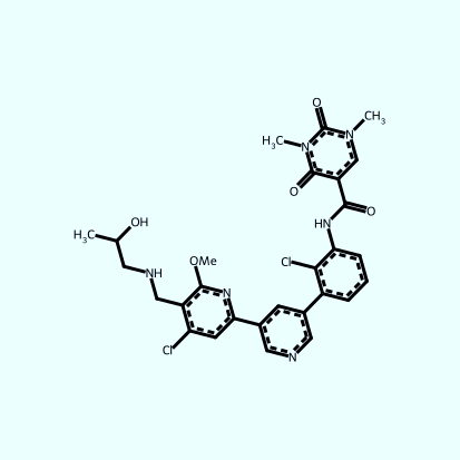 COc1nc(-c2cncc(-c3cccc(NC(=O)c4cn(C)c(=O)n(C)c4=O)c3Cl)c2)cc(Cl)c1CNCC(C)O